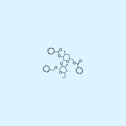 CCC1O[C@H](OCc2ccccc2)C(O[C@H]2OC(COC(=O)c3ccccc3)[C@@H](C)[C@H](C)C2OC(=O)c2ccccc2)[C@@H](C)[C@@H]1C